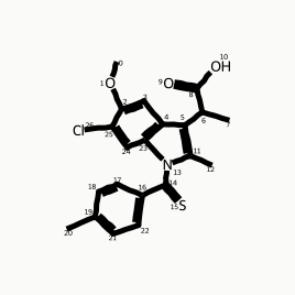 COc1cc2c(C(C)C(=O)O)c(C)n(C(=S)c3ccc(C)cc3)c2cc1Cl